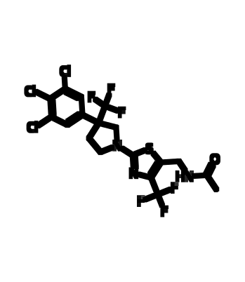 CC(=O)NCc1sc(N2CCC(c3cc(Cl)c(Cl)c(Cl)c3)(C(F)(F)F)C2)nc1C(F)(F)F